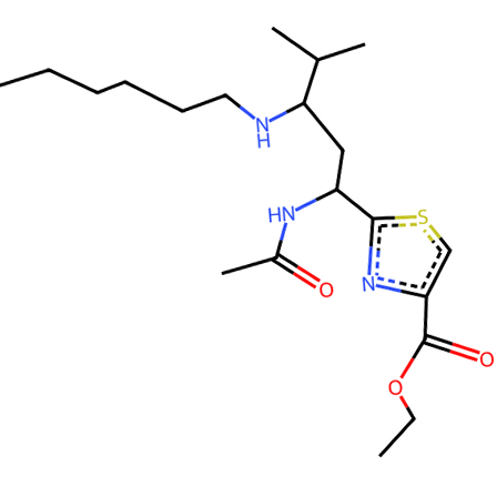 CCCCCCNC(CC(NC(C)=O)c1nc(C(=O)OCC)cs1)C(C)C